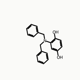 Oc1ccc(O)c(N(Cc2ccccc2)Cc2ccccc2)c1